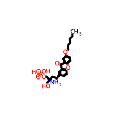 CCCCCCOc1ccc2oc3ccc(CCC(N)(CO)COP(=O)(O)O)cc3c(=O)c2c1